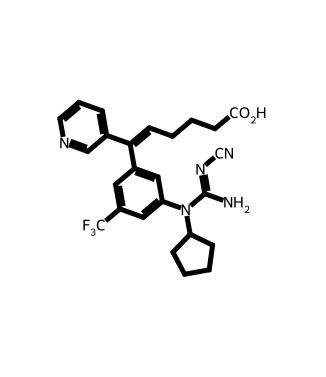 N#CN=C(N)N(c1cc(/C(=C\CCCC(=O)O)c2cccnc2)cc(C(F)(F)F)c1)C1CCCC1